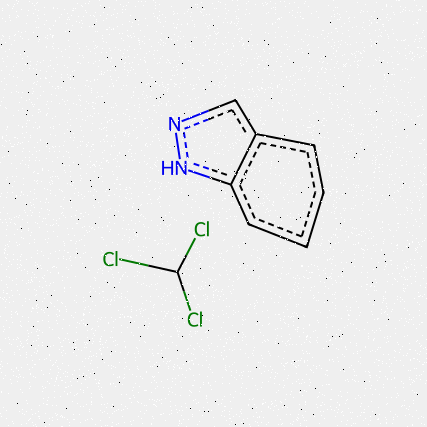 ClC(Cl)Cl.c1ccc2[nH]ncc2c1